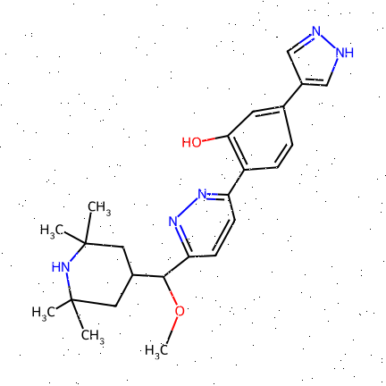 COC(c1ccc(-c2ccc(-c3cn[nH]c3)cc2O)nn1)C1CC(C)(C)NC(C)(C)C1